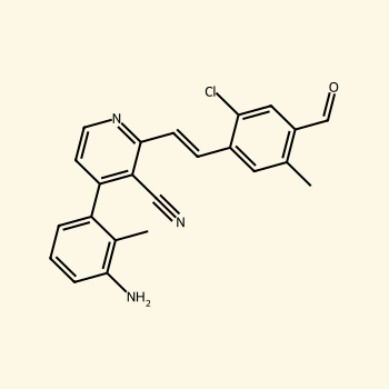 Cc1cc(/C=C/c2nccc(-c3cccc(N)c3C)c2C#N)c(Cl)cc1C=O